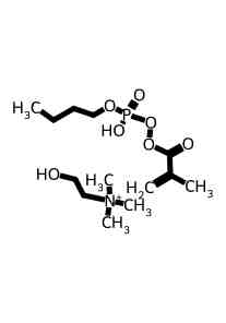 C=C(C)C(=O)OOP(=O)(O)OCCCC.C[N+](C)(C)CCO